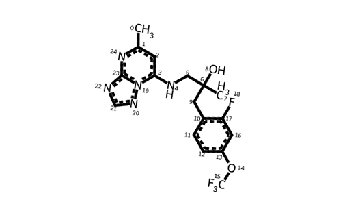 Cc1cc(NCC(C)(O)Cc2ccc(OC(F)(F)F)cc2F)n2ncnc2n1